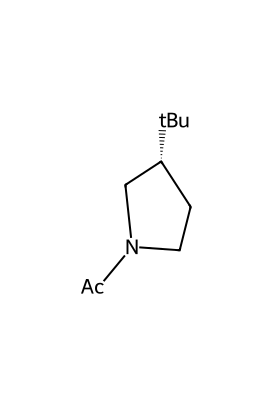 CC(=O)N1CC[C@@H](C(C)(C)C)C1